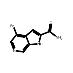 NC(=O)c1cc2c(Br)cncc2[nH]1